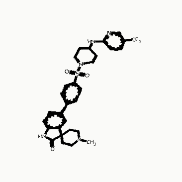 CN1CCC2(CC1)C(=O)Nc1ccc(-c3ccc(S(=O)(=O)N4CCC(Nc5ccc(C(F)(F)F)cn5)CC4)cc3)cc12